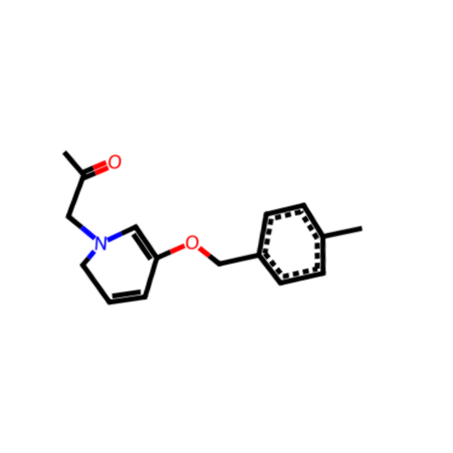 CC(=O)CN1C=C(OCc2ccc(C)cc2)C=CC1